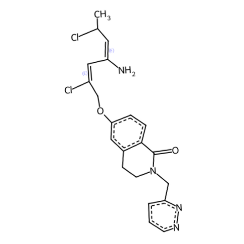 CC(Cl)/C=C(N)\C=C(\Cl)COc1ccc2c(c1)CCN(Cc1cccnn1)C2=O